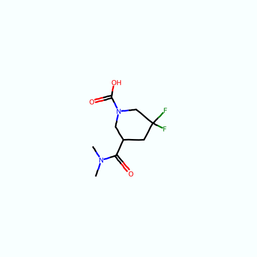 CN(C)C(=O)C1CN(C(=O)O)CC(F)(F)C1